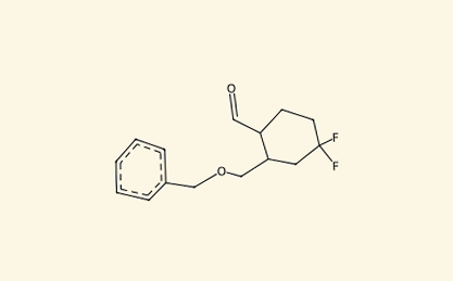 O=CC1CCC(F)(F)CC1COCc1ccccc1